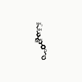 NCCNCc1cc(-c2cnn3cc(-c4ccc(OCCN5CCCCC5)cc4)cnc23)cs1